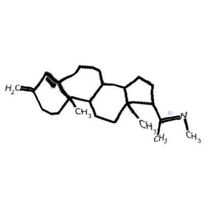 C=C1C=C2CCC3C(CCC4(C)C(/C(C)=N/C)CCC34)C2(C)CC1